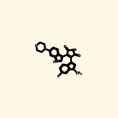 Cn1cc(C2=C(c3c[nH]c4cc(N5CCOCC5)ccc34)C(=O)NC2=O)c2ccc(F)cc21